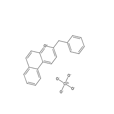 [O-][Cl+3]([O-])([O-])[O-].c1ccc(Cc2ccc3c(ccc4ccccc43)[o+]2)cc1